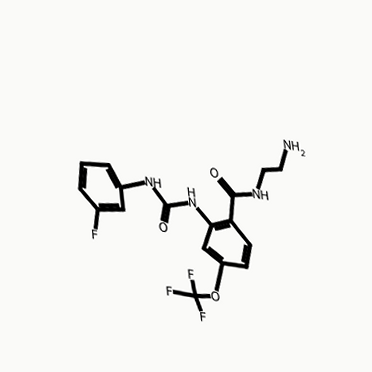 NCCNC(=O)c1ccc(OC(F)(F)F)cc1NC(=O)Nc1cccc(F)c1